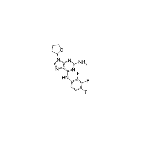 Nc1nc(Nc2ccc(F)c(F)c2F)c2ncn(C3CCCO3)c2n1